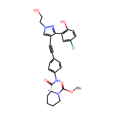 CC(C)(C)OC(=O)N1CCCC[C@@H]1C(=O)Nc1ccc(C#Cc2cn(CCO)nc2-c2cc(Cl)ccc2O)cc1